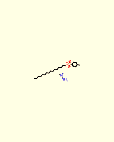 CCCCCCCCCCCCCCCCOS(=O)(=O)c1ccc(C)cc1.CN(C)C.N